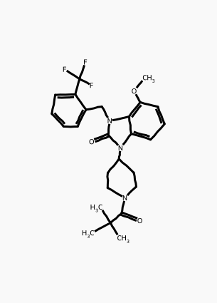 COc1cccc2c1n(Cc1ccccc1C(F)(F)F)c(=O)n2C1CCN(C(=O)C(C)(C)C)CC1